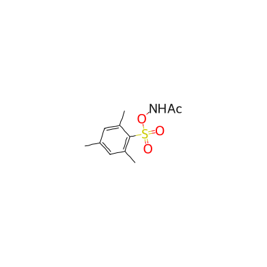 CC(=O)NOS(=O)(=O)c1c(C)cc(C)cc1C